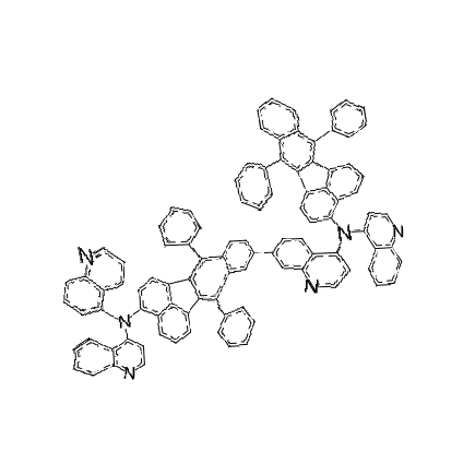 c1ccc(-c2c3c(c(-c4ccccc4)c4ccccc24)-c2ccc(N(c4ccnc5ccccc45)c4ccnc5cc(-c6ccc7c(-c8ccccc8)c8c(c(-c9ccccc9)c7c6)-c6cccc7c(N(c9cccc%10ncccc9%10)c9ccnc%10ccccc9%10)ccc-8c67)ccc45)c4cccc-3c24)cc1